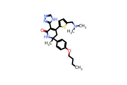 CCCCOc1ccc(C2(C)CC(c3ccc(CN(C)C)s3)=C(c3nnc[nH]3)C(=O)N2)cc1